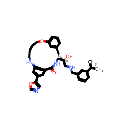 CC(C)c1cccc(CNC[C@@H](O)[C@@H]2Cc3cccc(c3)OCCCCNc3cc(cc(-c4cnco4)c3)C(=O)N2)c1